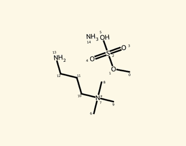 COS(=O)(=O)O.C[N+](C)(C)CCCN.N